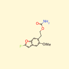 COc1cc2cc(F)oc2cc1CCOC(N)=O